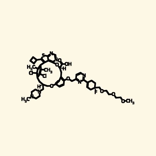 COCCOCCOC[C@@]1(F)CC=C(c2nccc(COc3ccc4cc3C[C@H](C(=O)O)Oc3ncnc5sc(C6CCC6)c(c35)-c3c(C)c(Cl)c(c(Cl)c3C)C[C@H](CN3CCN(C)CC3)CO4)n2)CC1